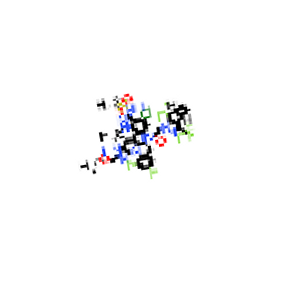 COCc1nc2nc([C@H](Cc3cc(F)cc(F)c3)NC(=O)Cn3nc(C(F)(F)F)c4c3C(F)(F)[C@@H]3CC[C@H]43)c(-c3ccc(Cl)c4c(NS(C)(=O)=O)nn(C)c34)cc2[nH]1